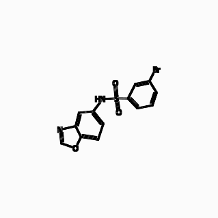 O=S(=O)(Nc1ccc2ocnc2c1)c1cccc(Br)c1